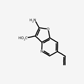 C=Cc1cnc2c(C(=O)O)c(N)oc2c1